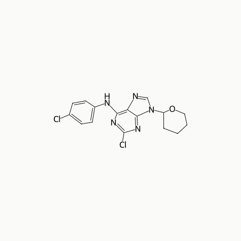 Clc1ccc(Nc2nc(Cl)nc3c2ncn3C2CCCCO2)cc1